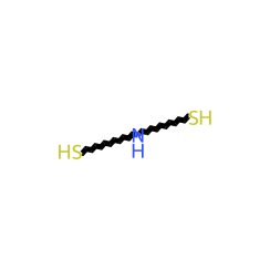 SCCCCCCCCCCCCNCCCCCCCCCCCS